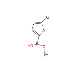 CC(=O)c1ccc(B(O)OC(C)C)s1